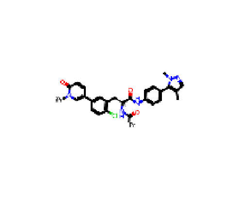 Cc1cnn(C)c1-c1ccc(NC(=O)[C@H](Cc2cc(-c3ccc(=O)n(C(C)C)c3)ccc2Cl)NC(=O)C(C)C)cc1